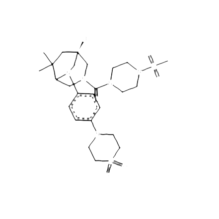 CC1(C)C[C@@H]2CN(C(=O)N3CCN(S(C)(=O)=O)CC3)CC1N(c1ccc(N3CCS(=O)(=O)CC3)cc1)C2